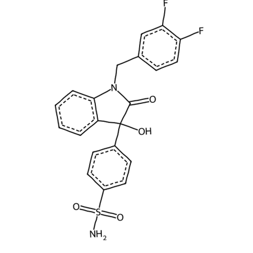 NS(=O)(=O)c1ccc(C2(O)C(=O)N(Cc3ccc(F)c(F)c3)c3ccccc32)cc1